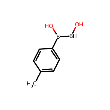 Cc1ccc(B(O)BO)cc1